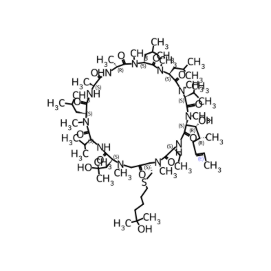 C/C=C/C[C@@H](C)[C@@H](O)[C@H]1C(=O)N[C@@H](CC)C(=O)N(C)[C@H](CSCCCCC(C)(C)O)C(=O)CN(C)[C@@H](CC(C)(C)O)C(=O)N[C@@H](C(C)C)C(=O)N(C)[C@@H](CC(C)C)C(=O)N[C@@H](C)C(=O)N[C@H](C)C(=O)N(C)[C@@H](CC(C)C)C(=O)N(C)[C@@H](CC(C)C)C(=O)N(C)[C@@H](C(C)C)C(=O)N1C